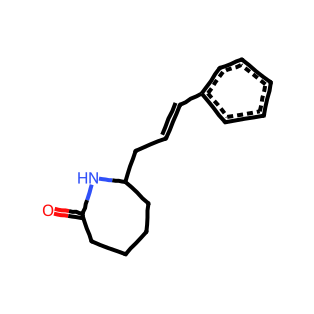 O=C1CCCCC(C/C=C/c2ccccc2)N1